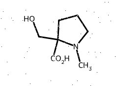 CN1CCCC1(CO)C(=O)O